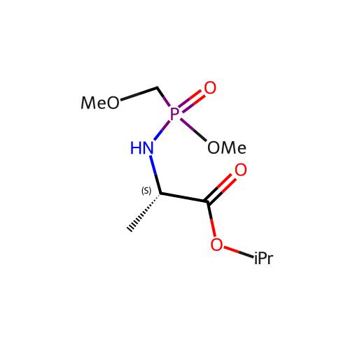 COCP(=O)(N[C@@H](C)C(=O)OC(C)C)OC